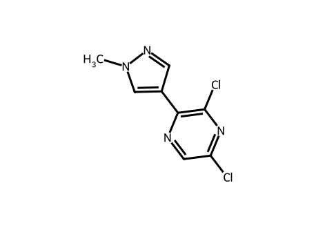 Cn1cc(-c2ncc(Cl)nc2Cl)cn1